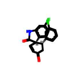 O=C1C=C[C@@]2(C(=O)Nc3cc(Cl)ccc32)[C@H](c2cccc(Cl)c2)C1